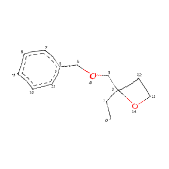 CCC1(COCc2ccccc2)CCO1